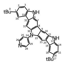 CC(C)(C)c1ccc2[nH]c3cc4c5cc6[nH]c7ccc(C(C)(C)C)cc7c6cc5n(-c5ccncc5)c4cc3c2c1